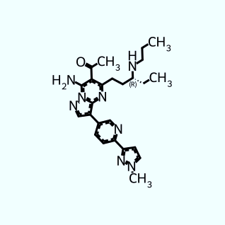 CCCN[C@H](CC)CCc1nc2c(-c3ccc(-c4ccn(C)n4)nc3)cnn2c(N)c1C(C)=O